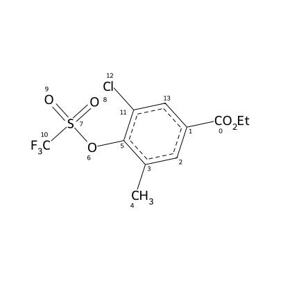 CCOC(=O)c1cc(C)c(OS(=O)(=O)C(F)(F)F)c(Cl)c1